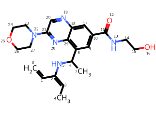 C=C/C(=C\C)NC(C)c1cc(C(=O)NCCO)cc2ncc(N3CCOCC3)nc12